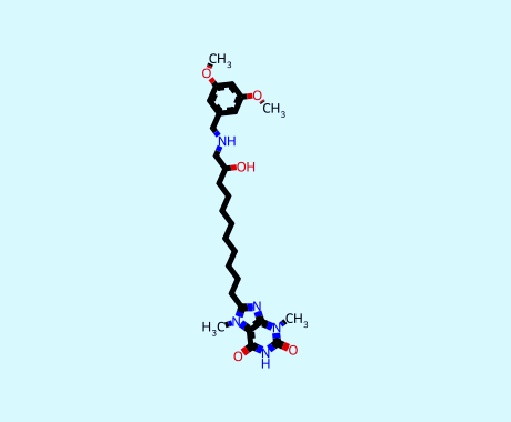 COc1cc(CNCC(O)CCCCCCCCCc2nc3c(c(=O)[nH]c(=O)n3C)n2C)cc(OC)c1